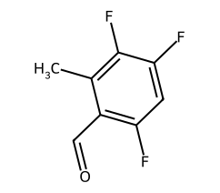 Cc1c(F)c(F)cc(F)c1C=O